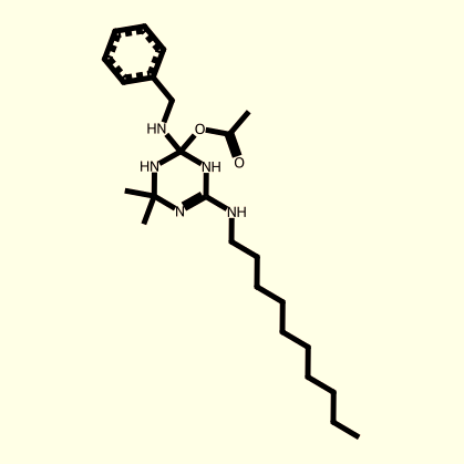 CCCCCCCCCCNC1=NC(C)(C)NC(NCc2ccccc2)(OC(C)=O)N1